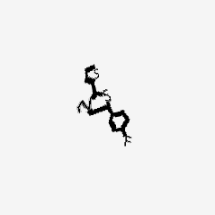 Fc1ccc(-c2cnc(-c3cccs3)s2)cc1